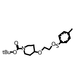 Cc1ccc(SOCCOC2CCN(C(=O)OC(C)(C)C)CC2)cc1